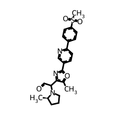 Cc1oc(-c2ccc(-c3ccc(S(C)(=O)=O)cc3)nc2)nc1C(C=O)N1CCC[C@H]1C